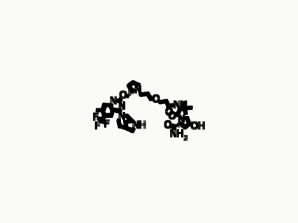 Cc1cc2nc(OC[C@@H]3CCCN3CCCOCCC(=O)N[C@H](C(=O)N3C[C@H](O)C[C@H]3C(N)=O)C(C)(C)C)nc(N3CCC4CNC(C4)C3)c2cc1C(F)(F)F